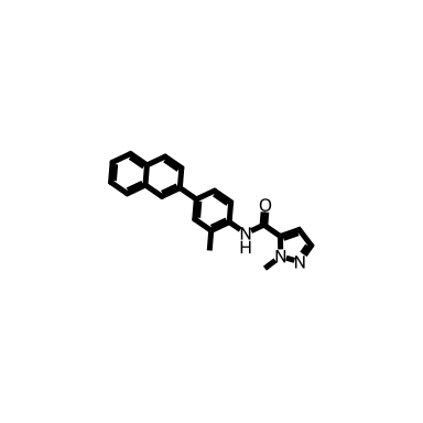 Cc1cc(-c2ccc3ccccc3c2)ccc1NC(=O)c1ccnn1C